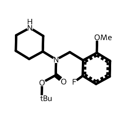 COc1cccc(F)c1CN(C(=O)OC(C)(C)C)C1CCCNC1